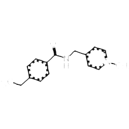 CCc1ccc(C(=O)NCc2cc[n+](C)cc2)cc1